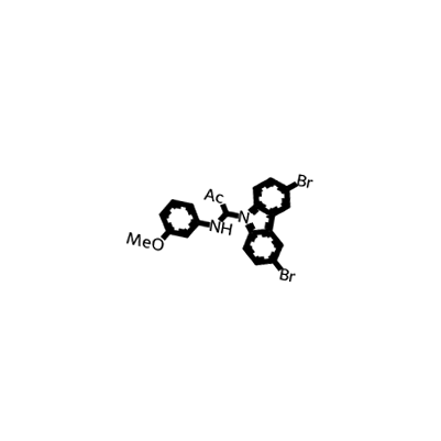 COc1cccc(NC(C(C)=O)n2c3ccc(Br)cc3c3cc(Br)ccc32)c1